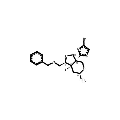 C[C@H]1C[C@H]2[C@@H](COCc3ccccc3)ON[C@@]2(c2nc(Br)cs2)CO1